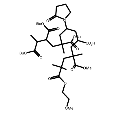 COCCOC(=O)C(C)(C)CC(C)(CC(CC(CC(C)(CC(C(=O)OCC(C)C)C(C)C(=O)OCC(C)C)C(=O)OCC(C)C)N1CCCC1=O)C(=O)O)C(=O)OC